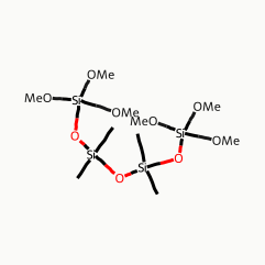 CO[Si](OC)(OC)O[Si](C)(C)O[Si](C)(C)O[Si](OC)(OC)OC